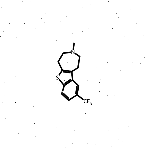 CN1CCc2sc3ccc(C(F)(F)F)cc3c2CC1